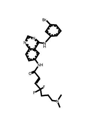 CN(C)CCCC(F)(F)C=CC(=O)Nc1ccc2ncnc(Nc3cccc(Br)c3)c2c1